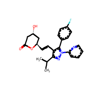 CC(C)c1nn(-c2ccccn2)c(-c2ccc(F)cc2)c1/C=C/[C@@H]1C[C@@H](O)CC(=O)O1